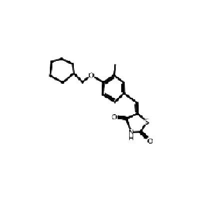 Cc1cc(C=C2SC(=O)NC2=O)ccc1OCC1CCCCC1